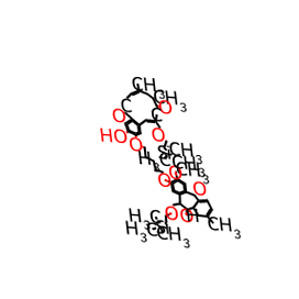 COc1cc2c(cc1OCCCCCOc1cc3c(cc1O)C(=O)CC/C=C(/C)C[C@H](C)C(=O)C/C(COCC[Si](C)(C)C)=C/3)C(COCC[Si](C)(C)C)C(=O)[C@@H]1CC(C)=CC=C1C2=O